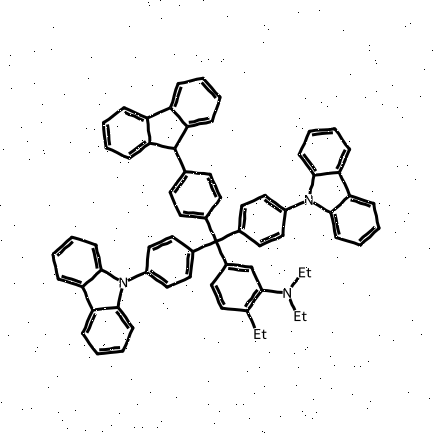 CCc1ccc(C(c2ccc(C3c4ccccc4-c4ccccc43)cc2)(c2ccc(-n3c4ccccc4c4ccccc43)cc2)c2ccc(-n3c4ccccc4c4ccccc43)cc2)cc1N(CC)CC